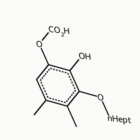 CCCCCCCOc1c(C)c(C)cc(OC(=O)O)c1O